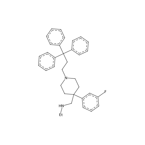 CCNCC1(c2cccc(F)c2)CCN(CCC(c2ccccc2)(c2ccccc2)c2ccccc2)CC1